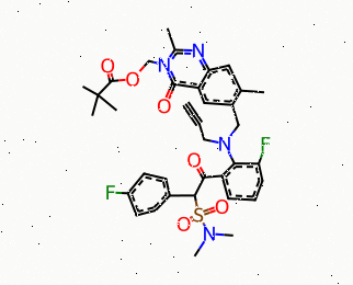 C#CCN(Cc1cc2c(=O)n(COC(=O)C(C)(C)C)c(C)nc2cc1C)c1c(F)cccc1C(=O)C(c1ccc(F)cc1)S(=O)(=O)N(C)C